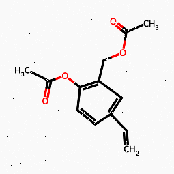 C=Cc1ccc(OC(C)=O)c(COC(C)=O)c1